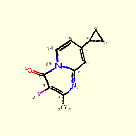 O=c1c(I)c(C(F)(F)F)nc2cc(C3CC3)ccn12